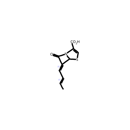 C/C=C/C=C1/C(=O)N2C(C(=O)O)=CSC12